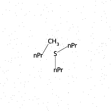 CCCC.CCCSCCC